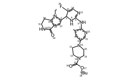 Cn1c(C2NC(Nc3ccc(N4CCN(C(=O)OC(C)(C)C)CC4)cn3)=NC=C2F)cc2c1CCNC2=O